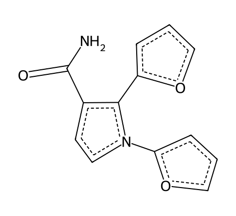 NC(=O)c1ccn(-c2ccco2)c1-c1ccco1